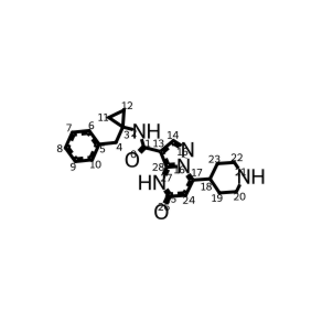 O=C(NC1(Cc2ccccc2)CC1)c1cnn2c(C3CCNCC3)cc(=O)[nH]c12